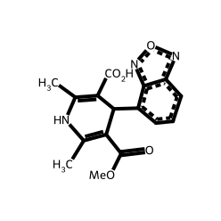 COC(=O)C1=C(C)NC(C)=C(C(=O)O)C1c1cccc2nonc12